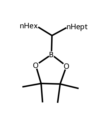 CCCCCCCC(CCCCCC)B1OC(C)(C)C(C)(C)O1